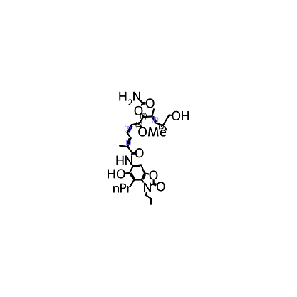 C=CCn1c(=O)oc2cc(NC(=O)/C(C)=C/C=C\[C@H](OC)[C@@H](OC(N)=O)/C(C)=C/[C@H](C)CO)c(O)c(CCC)c21